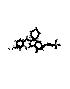 [2H]C1c2c(C)cc(C#C[Si](C)(C)C)cc2C2(CCCCC2)N1Cc1ccc(OC)cc1